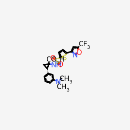 CN(C)c1cccc([C@@H]2CC2(NS(=O)(=O)c2ccc(-c3cc(C(F)(F)F)on3)s2)C(=O)O)c1